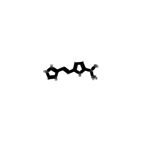 C[S+]([O-])c1ccc(/C=C/c2ncon2)s1